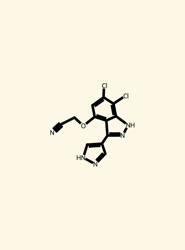 N#CCOc1cc(Cl)c(Cl)c2[nH]nc(-c3cn[nH]c3)c12